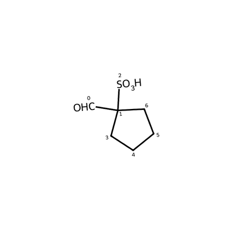 O=CC1(S(=O)(=O)O)CCCC1